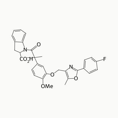 COc1ccc(C(C)(C)C(=O)N2c3ccccc3CC2C(=O)O)cc1OCc1nc(-c2ccc(F)cc2)oc1C